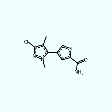 Cc1c(Cl)nn(C)c1-c1csc(C(N)=O)c1